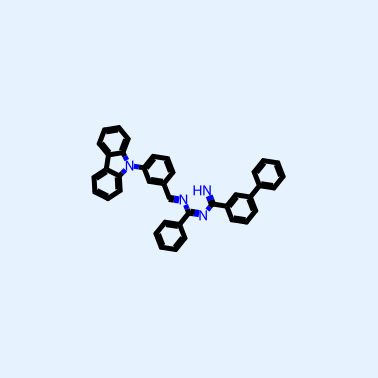 N=C(/N=C(\N=C\c1cccc(-n2c3ccccc3c3ccccc32)c1)c1ccccc1)c1cccc(-c2ccccc2)c1